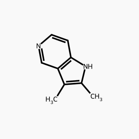 Cc1[nH]c2ccncc2c1C